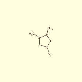 CC1CC([O])CC1C